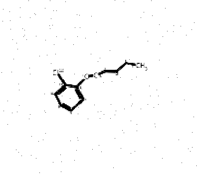 CCCCCOc1c[c]ccc1Cl